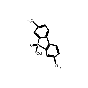 CCCCCCCCP1(=O)c2cc(C)ccc2-c2ccc(C)cc21